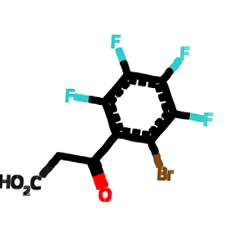 O=C(O)CC(=O)c1c(F)c(F)c(F)c(F)c1Br